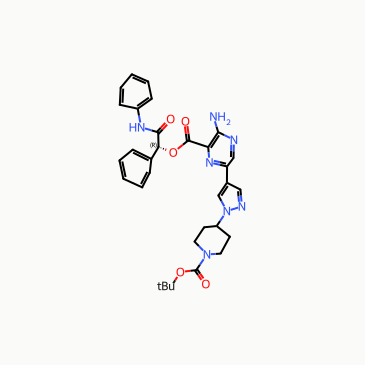 CC(C)(C)OC(=O)N1CCC(n2cc(-c3cnc(N)c(C(=O)O[C@@H](C(=O)Nc4ccccc4)c4ccccc4)n3)cn2)CC1